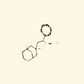 CO[C@@]12CCCC(C[C@@](O)(CC(N=[N+]=[N-])c3ccccc3)C1)C2